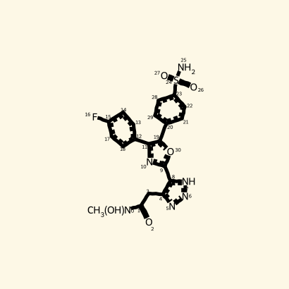 CN(O)C(=O)Cc1nn[nH]c1-c1nc(-c2ccc(F)cc2)c(-c2ccc(S(N)(=O)=O)cc2)o1